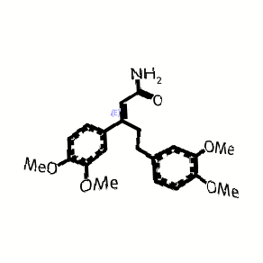 COc1ccc(CC/C(=C\C(N)=O)c2ccc(OC)c(OC)c2)cc1OC